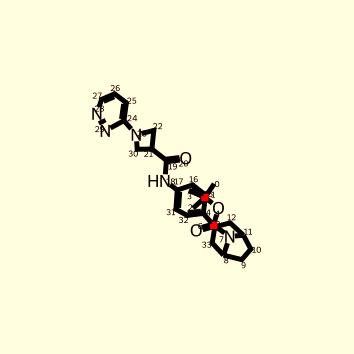 CC(C)(C)OC(=O)N1C2CCC1CC(c1ccc(NC(=O)C3CN(c4cccnn4)C3)cc1)C2